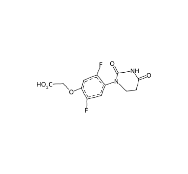 O=C(O)COc1cc(F)c(N2CCC(=O)NC2=O)cc1F